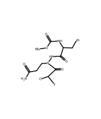 CC(C)CC(NC(=O)OC(C)(C)C)C(=O)NN(CCC(N)=O)C(=O)C(F)Cl